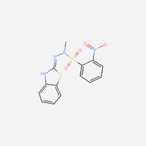 CN(N=c1[nH]c2ccccc2s1)S(=O)(=O)c1ccccc1[N+](=O)[O-]